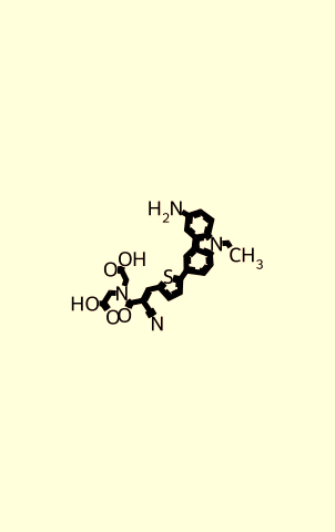 CCn1c2ccc(N)cc2c2cc(-c3ccc(/C=C(\C#N)C(=O)N(CC(=O)O)CC(=O)O)s3)ccc21